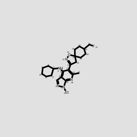 CCn1ncc2c(NC3CCCCC3)c(C3=NOC4(CCC(CF)CC4)C3)c(C)nc21